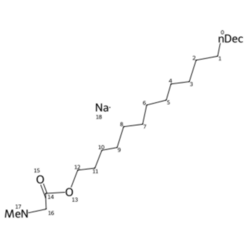 CCCCCCCCCCCCCCCCCCCCCCOC(=O)CNC.[Na]